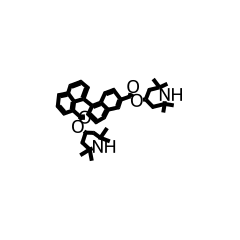 CC1(C)CC(OC(=O)c2ccc3c(-c4cccc5cccc(C(=O)OC6CC(C)(C)NC(C)(C)C6)c45)cccc3c2)CC(C)(C)N1